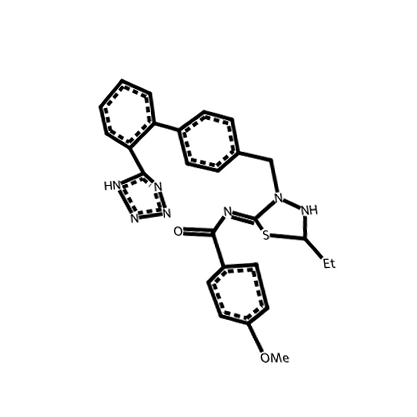 CCC1NN(Cc2ccc(-c3ccccc3-c3nnn[nH]3)cc2)C(=NC(=O)c2ccc(OC)cc2)S1